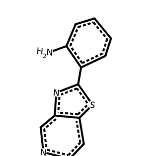 Nc1ccccc1-c1nc2cnccc2s1